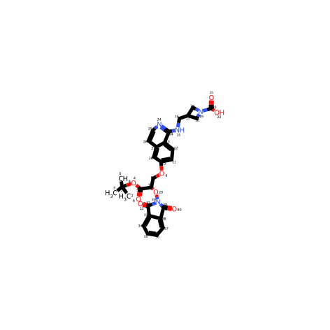 CC(C)(C)OC(=O)C(COc1ccc2c(NCC3CN(C(=O)O)C3)nccc2c1)ON1C(=O)c2ccccc2C1=O